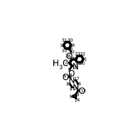 Cc1c(COC(=O)N2CCN(C(=O)C3CC3)CC2)nc2ccccc2c1OCc1ccccc1